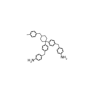 Cc1ccc(CC2CCC(c3ccc(Cc4ccc(N)cc4)cc3)(c3ccc(Cc4ccc(N)cc4)cc3)CC2)cc1